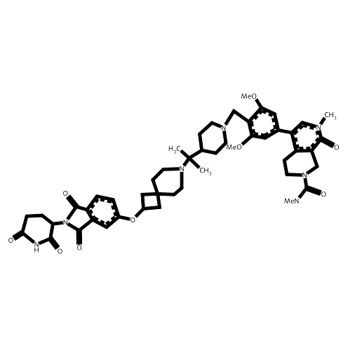 CNC(=O)N1CCc2c(-c3cc(OC)c(CN4CCC(C(C)(C)N5CCC6(CC5)CC(Oc5ccc7c(c5)C(=O)N(C5CCC(=O)NC5=O)C7=O)C6)CC4)c(OC)c3)cn(C)c(=O)c2C1